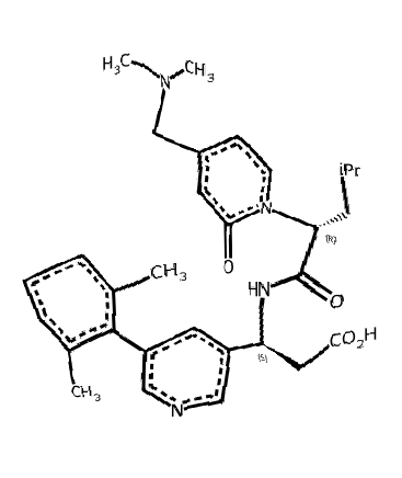 Cc1cccc(C)c1-c1cncc([C@H](CC(=O)O)NC(=O)[C@@H](CC(C)C)n2ccc(CN(C)C)cc2=O)c1